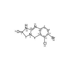 O=C1CN2Cc3c(ccc(Br)c3Cl)N=C2N1